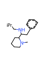 CC(C)CNC(Cc1ccccc1)C1CCCCN1C